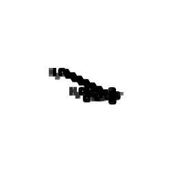 C=CC(N)=O.CCCCCCCCCCCCCCOS(=O)(=O)[O-].[Na+]